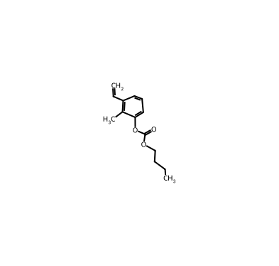 C=Cc1cccc(OC(=O)OCCCC)c1C